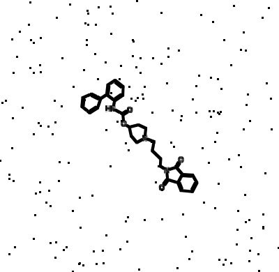 O=C(Nc1ccccc1-c1ccccc1)OC1CCN(CCCCN2C(=O)c3ccccc3C2=O)CC1